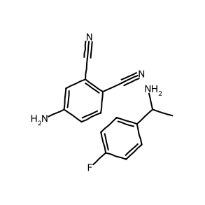 CC(N)c1ccc(F)cc1.N#Cc1ccc(N)cc1C#N